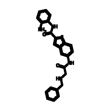 Nc1ccccc1NC(=O)c1cc2cc(NC(=O)CNCc3ccccc3)ccc2s1